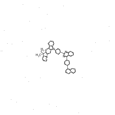 CC1(C)c2ccccc2-c2cc3c(cc21)c1ccccc1n3-c1ccc(-c2nc(-c3ccc(-c4cccc5ccccc45)cc3)c3ccccc3n2)cc1